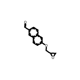 O=Cc1ccc2cc(OCC3CO3)ccc2c1